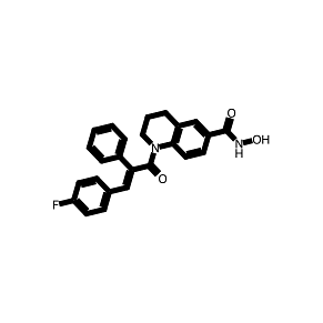 O=C(NO)c1ccc2c(c1)CCCN2C(=O)/C(=C/c1ccc(F)cc1)c1ccccc1